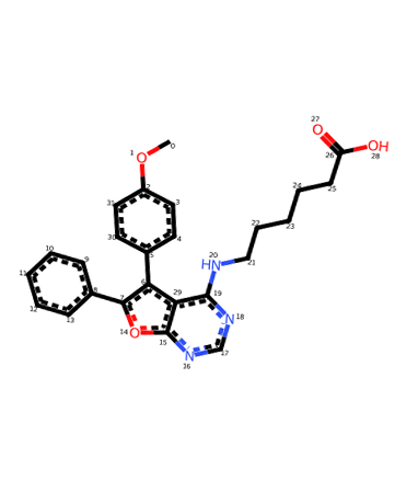 COc1ccc(-c2c(-c3ccccc3)oc3ncnc(NCCCCCC(=O)O)c23)cc1